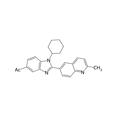 CC(=O)c1ccc2c(c1)nc(-c1ccc3nc(C)ccc3c1)n2C1CCCCC1